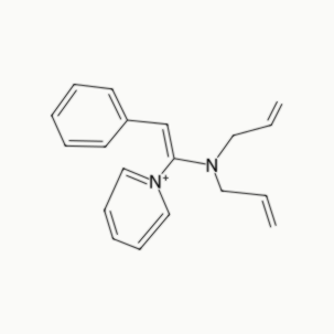 C=CCN(CC=C)C(=Cc1ccccc1)[n+]1ccccc1